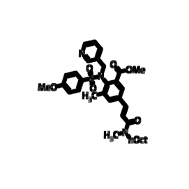 CCCCCCCCN(C)C(=O)C=Cc1cc(C)c(N(Cc2cccnc2)S(=O)(=O)c2ccc(OC)cc2)c(C(=O)OC)c1